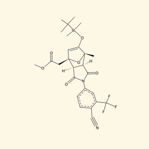 COC(=O)C[C@@]12C=C(O[Si](C)(C)C(C)(C)C)[C@@](C)(O1)[C@H]1C(=O)N(c3ccc(C#N)c(C(F)(F)F)c3)C(=O)[C@H]12